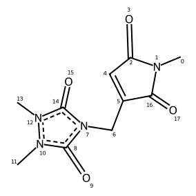 CN1C(=O)C=C(Cn2c(=O)n(C)n(C)c2=O)C1=O